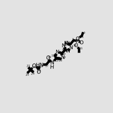 CCOP(=O)(Cc1nnc(-c2ncc(NC(=O)CNC(=O)OC(C)(C)C)cn2)nn1)OCC